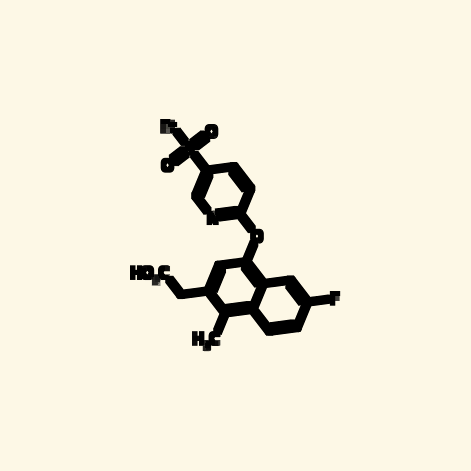 CCS(=O)(=O)c1ccc(Oc2cc(CC(=O)O)c(C)c3ccc(F)cc23)nc1